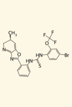 C[C@H]1C=c2oc(-c3ccccc3NC(=S)Nc3ccc(Br)cc3OC(F)(F)F)nc2=NC1